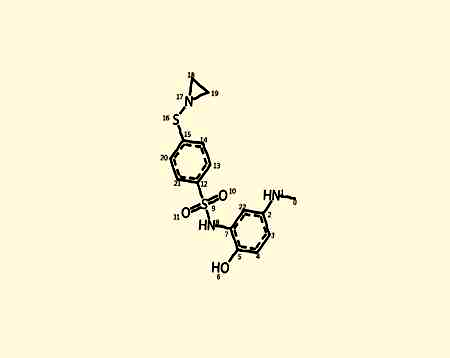 CNc1ccc(O)c(NS(=O)(=O)c2ccc(SN3CC3)cc2)c1